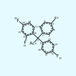 CC(=O)C(c1ccc(F)cc1)(c1ccc(F)cc1)c1ccc(F)cc1F